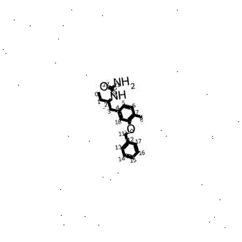 CCC(Cc1ccc(C)c(OCc2ccccc2)c1)NC(N)=O